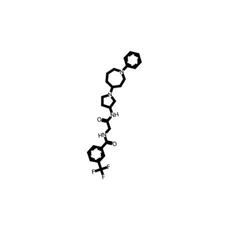 O=C(CNC(=O)c1cccc(C(F)(F)F)c1)NC1CCN(C2CCCN(c3ccccc3)CC2)C1